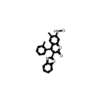 CCNc1cc2oc(=O)c(-c3nc4ccccc4s3)c(-c3ccccc3C)c2cc1C